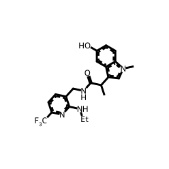 CCNc1nc(C(F)(F)F)ccc1CNC(=O)C(C)c1cn(C)c2ccc(O)cc12